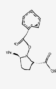 CCC[C@@H]1CC[C@@H](C(=O)OC)N1OC(=O)c1ccccc1